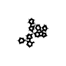 CC1CC=Cc2c1c1cc(N(C3=CCC4C(=C3)Oc3ccccc34)C3=CC=C4C5=C(C=C=C5)C(c5ccccc5)(C5CC=CCC5)C4C3)c#cc1n2-c1ccccc1